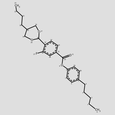 CCCCCc1ccc(OC(=O)c2ccc(C3OCC(CCCC)CO3)c(F)c2)cc1